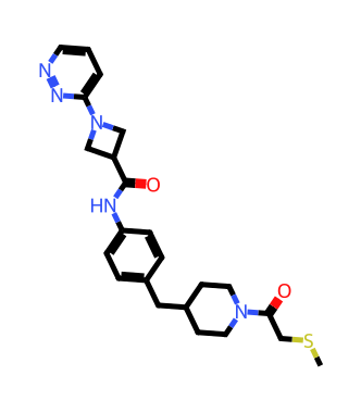 CSCC(=O)N1CCC(Cc2ccc(NC(=O)C3CN(c4cccnn4)C3)cc2)CC1